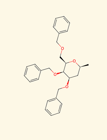 C[C@H]1C[C@@H](OCc2ccccc2)[C@@H](OCc2ccccc2)[C@@H](COCc2ccccc2)O1